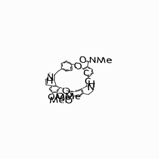 CNC(=O)c1ccc2cc1Oc1ccc(cc1)C[C@H]1c3c(cc(OC)c(OC)c3Oc3cc4c(cc3OC)CCN(C)[C@@H]4C2)CCN1C